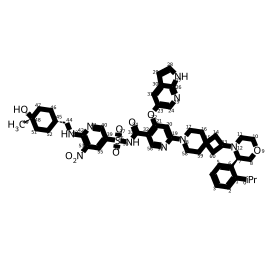 CC(C)c1ccccc1[C@@H]1COCCN1C1CC2(CCN(c3cc(Oc4cnc5[nH]ccc5c4)c(C(=O)NS(=O)(=O)c4cnc(NC[C@H]5CC[C@](C)(O)CC5)c([N+](=O)[O-])c4)cn3)CC2)C1